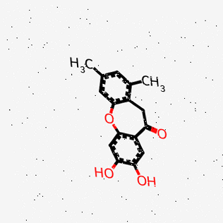 Cc1cc(C)c2c(c1)Oc1cc(O)c(O)cc1C(=O)C2